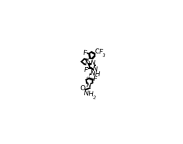 NC(=O)CN1CC[C@H](CNc2ncnc(N3CCC[C@@H]3c3ccc(C(F)(F)F)cc3F)c2F)[C@@H](F)C1